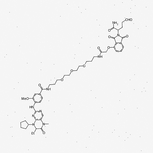 CCC1C(=O)N(C)c2cnc(Nc3ccc(C(=O)NCCCOCCOCCOCCCNC(=O)COc4cccc5c4C(=O)N(C(CCC=O)C(N)=O)C5=O)cc3OC)nc2N1C1CCCC1